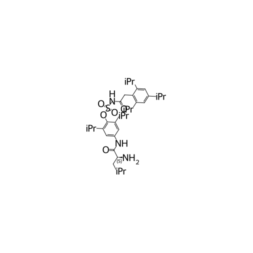 CC(C)C[C@H](N)C(=O)Nc1cc(C(C)C)c(OS(=O)(=O)NC(=O)Cc2c(C(C)C)cc(C(C)C)cc2C(C)C)c(C(C)C)c1